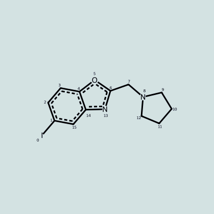 Ic1ccc2oc(CN3CCCC3)nc2c1